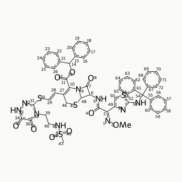 CO/N=C(/C(=O)NC1C(=O)N2C(C(=O)OC(c3ccccc3)c3ccccc3)=C(/C=C/Sc3n[nH]c(=O)c(=O)n3CCNS(C)(=O)=O)CSC12)c1csc(NC(c2ccccc2)(c2ccccc2)c2ccccc2)n1